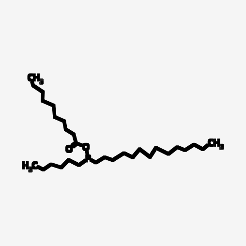 CCCCCCCCCCCCCCP(CCCCCC)OC(=O)CCCCCCCCC